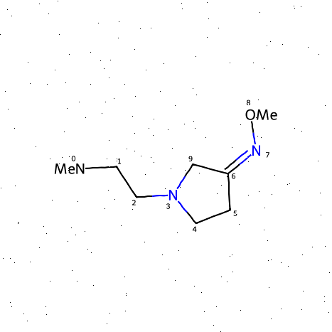 CNCCN1CC/C(=N/OC)C1